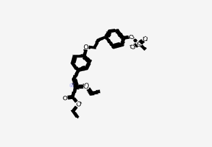 CCOC(=O)/C(=C/c1ccc(OCCc2ccc(OS(C)(=O)=O)cc2)cc1)OCC